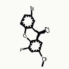 COc1cc(F)c2c(c1)C(Cl)c1cc(Br)ccc1O2